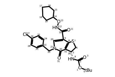 CC(C)(C)OC(=O)N[C@H]1CSc2c(C(=O)NOC3CCCCC3)cn(Cc3ccc(Cl)cc3)c(=O)c21